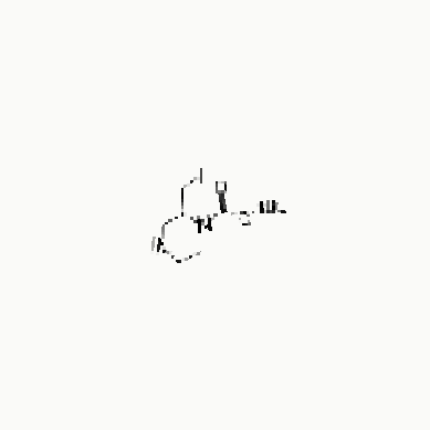 CC(C)(C)OC(=O)N1CCNC[C@H]1CI